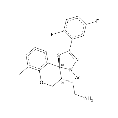 CC(=O)N1N=C(c2cc(F)ccc2F)S[C@@]12c1cccc(C)c1OC[C@H]2CCN